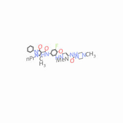 CCCn1c(C)c(C(=O)Nc2ccc(OC(=N)/C=C(\NC)NC(=O)N3CCN(C)CC3)c(F)c2)c(=O)n1-c1ccccc1